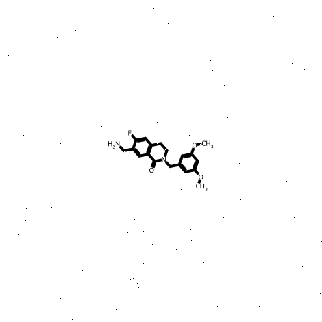 COc1cc(CN2CCc3cc(F)c(CN)cc3C2=O)cc(OC)c1